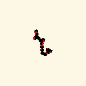 c1ccc(-c2ccc(-n3c4ccccc4c4cc(-c5ccc6c(c5)c5ccccc5n6-c5ccc(-c6ccc(-c7ccc(-c8cccc(-c9cccc(-c%10ccc(-c%11ccccc%11-c%11ccccc%11)cc%10)c9)c8)cc7)cc6)cc5)ccc43)cc2)cc1